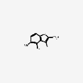 Cc1c(C(=O)O)oc2ccc(C(C)(C)C)c(O)c12